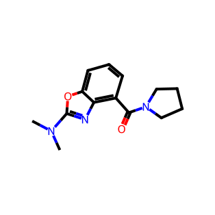 CN(C)c1nc2c(C(=O)N3CCCC3)cccc2o1